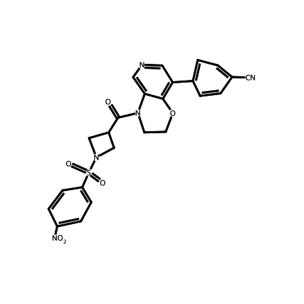 N#Cc1ccc(-c2cncc3c2OCCN3C(=O)C2CN(S(=O)(=O)c3ccc([N+](=O)[O-])cc3)C2)cc1